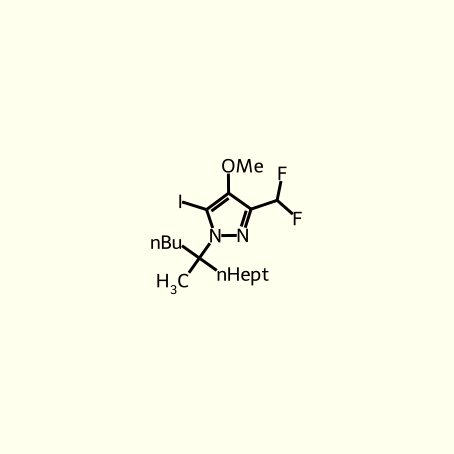 CCCCCCCC(C)(CCCC)n1nc(C(F)F)c(OC)c1I